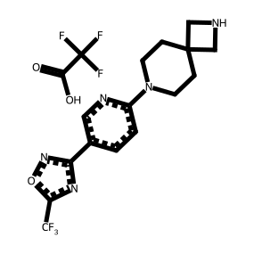 FC(F)(F)c1nc(-c2ccc(N3CCC4(CC3)CNC4)nc2)no1.O=C(O)C(F)(F)F